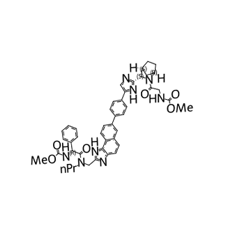 CCCN(Cc1nc2ccc3cc(-c4ccc(-c5cnc([C@@H]6[C@H]7CC[C@H](C7)N6C(=O)CNC(=O)OC)[nH]5)cc4)ccc3c2[nH]1)C(=O)[C@H](NC(=O)OC)c1ccccc1